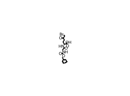 O=C(CBr)CCC(NC(=O)CNC(=O)OCc1ccccc1)C(=O)O